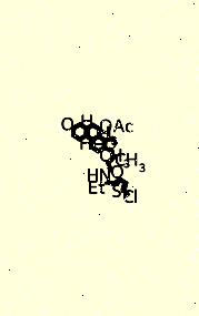 CC[C@@H](NC(=O)C[C@@H](C)[C@H]1CC[C@H]2[C@@H]3[C@H](OC(C)=O)C[C@@H]4CC(=O)CC[C@]4(C)[C@H]3CC[C@]12C)c1ccc(Cl)s1